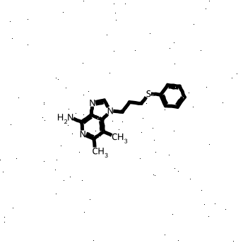 Cc1nc(N)c2ncn(CCCSc3ccccc3)c2c1C